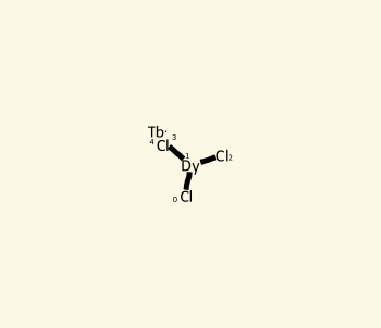 [Cl][Dy]([Cl])[Cl].[Tb]